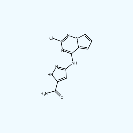 NC(=O)c1cc(Nc2nc(Cl)nn3cccc23)n[nH]1